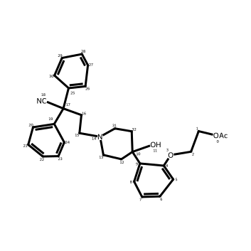 CC(=O)OCCOc1ccccc1C1(O)CCN(CCC(C#N)(c2ccccc2)c2ccccc2)CC1